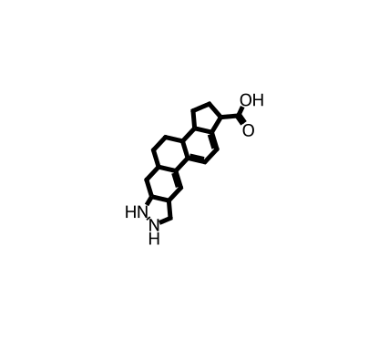 O=C(O)C1CCC2C1=CC=C1C3=CC4CNNC4CC3CCC12